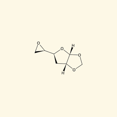 C1O[C@H]2O[C@H]([C@H]3CO3)C[C@H]2O1